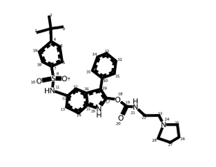 CC(C)(C)c1ccc(S(=O)(=O)Nc2ccc3[nH]c(OC(=O)NCCN4CCCC4)c(-c4ccccc4)c3c2)cc1